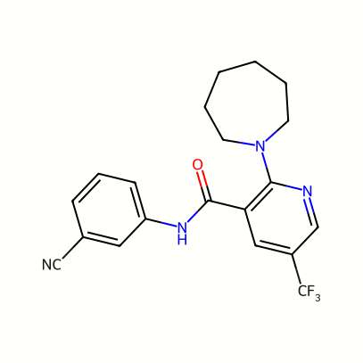 N#Cc1cccc(NC(=O)c2cc(C(F)(F)F)cnc2N2CCCCCC2)c1